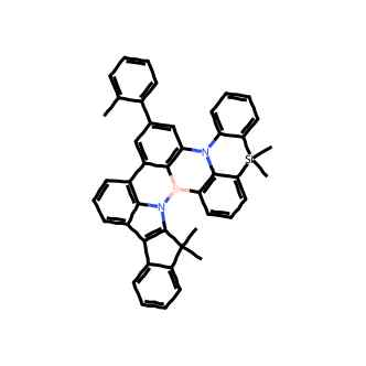 Cc1ccccc1-c1cc2c3c(c1)N1c4ccccc4[Si](C)(C)c4cccc(c41)B3n1c3c(c4cccc-2c41)-c1ccccc1C3(C)C